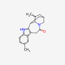 C=C1CC2CC3c4[nH]c5ccc(C)cc5c4CC(=O)N(C2)C13